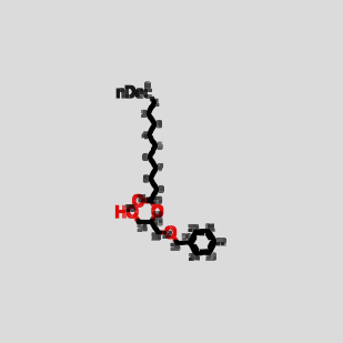 CCCCCCCCCCCCCCCCCCCC(=O)OC(CO)COCc1ccccc1